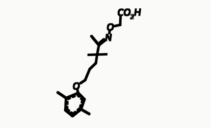 CC(=NOCC(=O)O)C(C)(C)CCCOc1cc(C)ccc1C